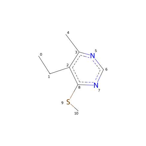 CCc1c(C)ncnc1SC